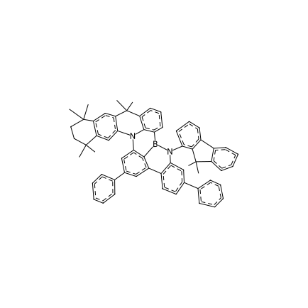 CC1(C)CCC(C)(C)c2cc3c(cc21)N1c2cc(-c4ccccc4)cc4c2B(c2cccc(c21)C3(C)C)N(c1cccc2c1C(C)(C)c1ccccc1-2)c1cc(-c2ccccc2)ccc1-4